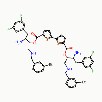 CCc1cccc(CNC[C@@H](OC(=O)c2ccc(-c3ccc(C(=O)O[C@H](CNCc4cccc(CC)c4)[C@@H](N)Cc4cc(F)cc(F)c4)s3)s2)[C@@H](N)Cc2cc(F)cc(F)c2)c1